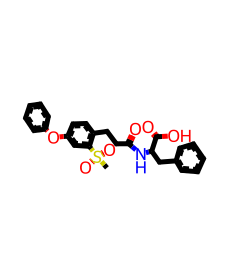 CS(=O)(=O)c1cc(Oc2ccccc2)ccc1CCC(=O)NC(Cc1ccccc1)C(=O)O